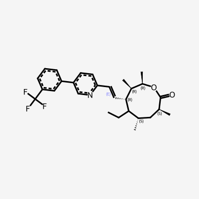 CCC1[C@@H](C)C[C@H](C)C(=O)O[C@H](C)[C@H](C)[C@H]1/C=C/c1ccc(-c2cccc(C(F)(F)F)c2)cn1